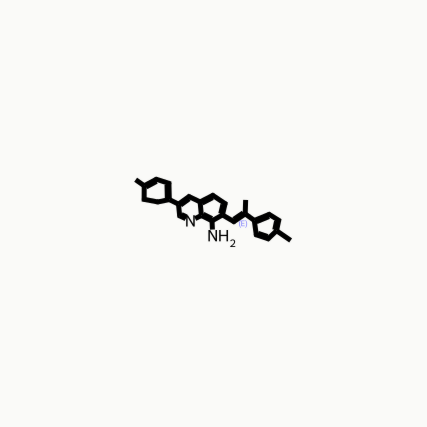 CC1=CC=C(c2cnc3c(N)c(/C=C(\C)c4ccc(C)cc4)ccc3c2)CC1